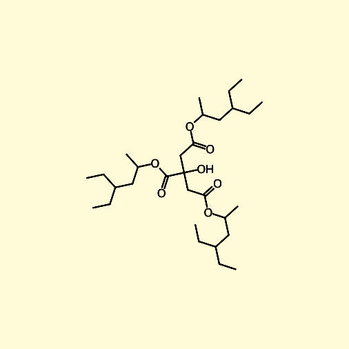 CCC(CC)CC(C)OC(=O)CC(O)(CC(=O)OC(C)CC(CC)CC)C(=O)OC(C)CC(CC)CC